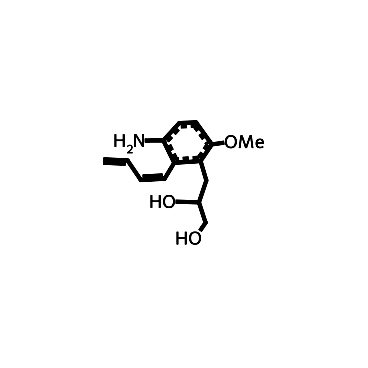 C=C/C=C\c1c(N)ccc(OC)c1CC(O)CO